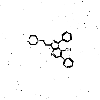 Oc1c(-c2ccccc2)cnc2c1C(c1ccccc1)=NC2CCN1CCOCC1